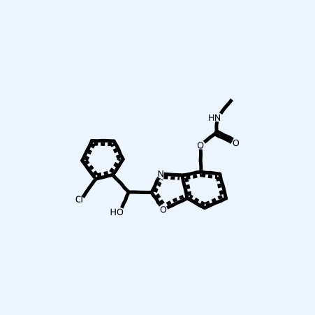 CNC(=O)Oc1cccc2oc(C(O)c3ccccc3Cl)nc12